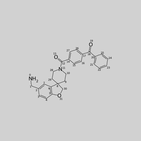 NCc1ccc2c(c1)C1(CCN(C(=O)c3ccc(C(=O)c4ccccc4)cc3)CC1)CO2